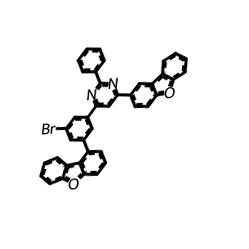 Brc1cc(-c2cc(-c3ccc4oc5ccccc5c4c3)nc(-c3ccccc3)n2)cc(-c2cccc3oc4ccccc4c23)c1